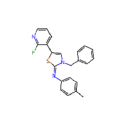 Cc1ccc(N=c2sc(-c3cccnc3F)cn2Cc2ccccc2)cc1